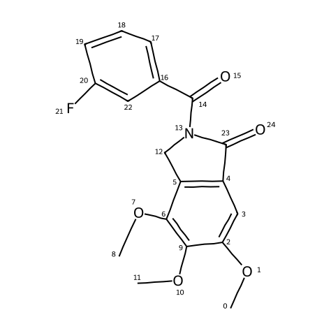 COc1cc2c(c(OC)c1OC)CN(C(=O)c1cccc(F)c1)C2=O